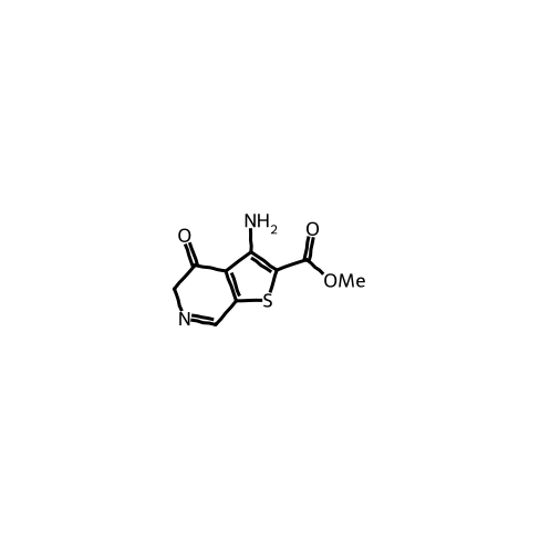 COC(=O)c1sc2c(c1N)C(=O)CN=C2